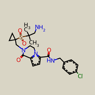 CC(C)(CN)S(=O)(=O)C1(CN2CCn3c(C(=O)NCc4ccc(Cl)cc4)ccc3C2=O)CC1